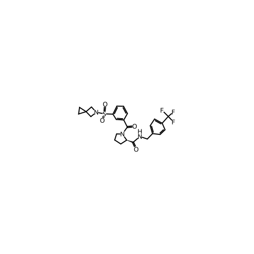 O=C(NCc1ccc(C(F)(F)F)cc1)[C@H]1CCCN1C(=O)c1cccc(S(=O)(=O)N2CC3(CC3)C2)c1